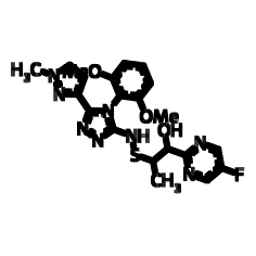 COc1cccc(OC)c1-n1c(NSC(C)C(O)c2ncc(F)cn2)nnc1-c1ccn(C)n1